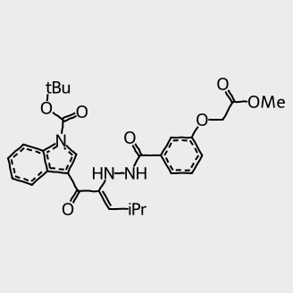 COC(=O)COc1cccc(C(=O)NNC(=CC(C)C)C(=O)c2cn(C(=O)OC(C)(C)C)c3ccccc23)c1